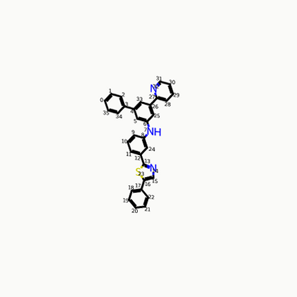 c1ccc(-c2cc(Nc3cccc(-c4ncc(-c5ccccc5)s4)c3)cc(-c3ccccn3)c2)cc1